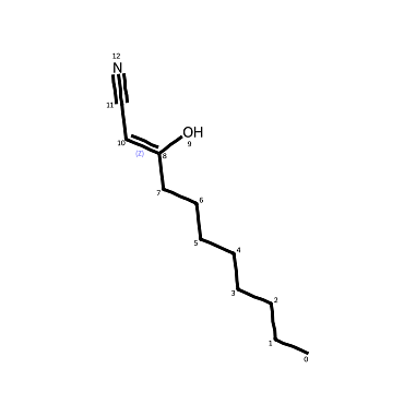 CCCCCCCC/C(O)=C/C#N